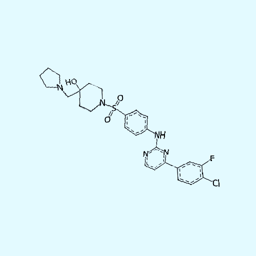 O=S(=O)(c1ccc(Nc2nccc(-c3ccc(Cl)c(F)c3)n2)cc1)N1CCC(O)(CN2CCCC2)CC1